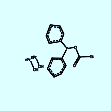 CCC(=O)OP(c1ccccc1)c1ccccc1.CCCO.CCCO